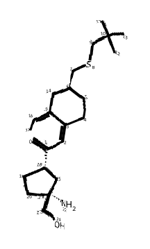 C=C(/C=C1/CC[C@H](CSCC(C)(C)C)C/C1=C/C)[C@H]1CC[C@](N)(CO)C1